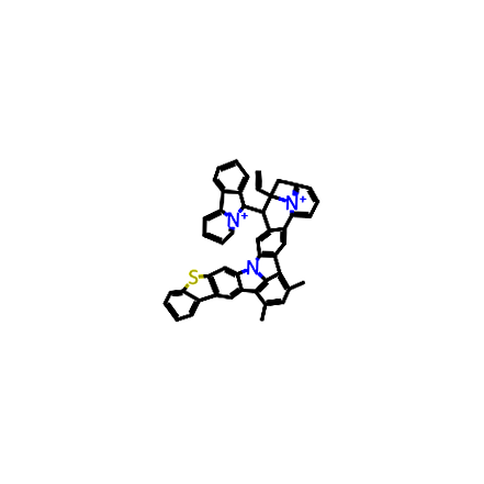 C=CC12Cc3cccc([n+]31)-c1cc3c4c(C)cc(C)c5c6cc7c(cc6n(c3cc1C2C1c2ccccc2-c2cccc[n+]21)c45)sc1ccccc17